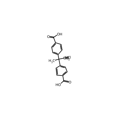 CC(C)(c1ccc(C(=O)O)cc1)c1ccc(C(=O)O)cc1.Cl.Cl